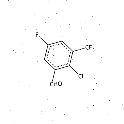 O=Cc1cc(F)cc(C(F)(F)F)c1Cl